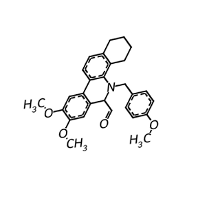 COc1ccc(CN2c3c(ccc4c3CCCC4)-c3cc(OC)c(OC)cc3C2C=O)cc1